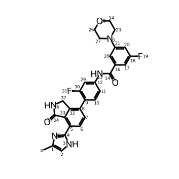 Cc1c[nH]c(-c2ccc(-c3ccc(NC(=O)c4cc(F)cc(N5CCOCC5)c4)cc3F)c3c2C(=O)NC3)n1